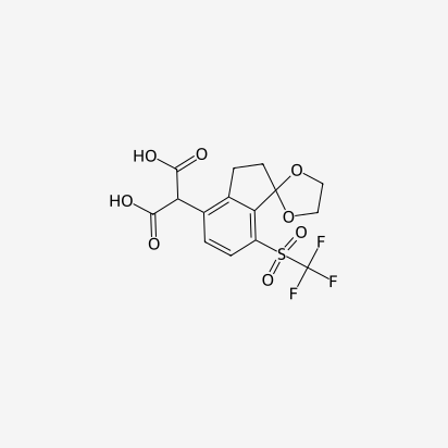 O=C(O)C(C(=O)O)c1ccc(S(=O)(=O)C(F)(F)F)c2c1CCC21OCCO1